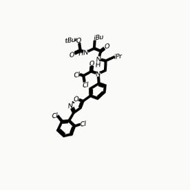 CCC(C)C(NC(=O)OC(C)(C)C)C(=O)NC(CN(C(=O)C(Cl)Cl)c1cccc(-c2cc(-c3c(Cl)cccc3Cl)no2)c1)C(C)C